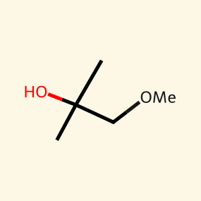 [CH2-][OH+]CC(C)(C)O